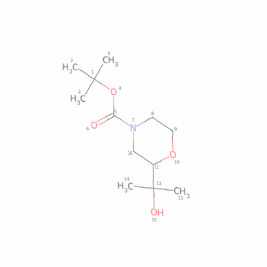 CC(C)(C)OC(=O)N1CCOC(C(C)(C)O)C1